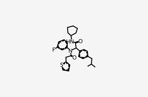 CC(C)Cc1ccc(C(C(=O)NC2CCCCC2)N(C(=O)Cc2cccs2)c2cccc(F)c2)cc1